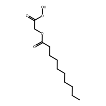 CCCCCCCCCC(=O)OCC(=O)OO